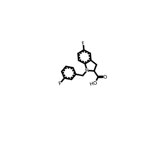 O=C(O)C1Cc2cc(F)ccc2N1Cc1cccc(F)c1